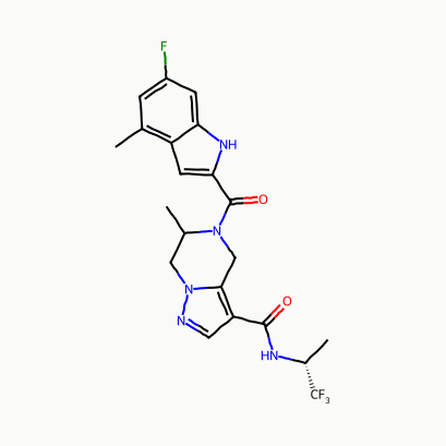 Cc1cc(F)cc2[nH]c(C(=O)N3Cc4c(C(=O)N[C@H](C)C(F)(F)F)cnn4CC3C)cc12